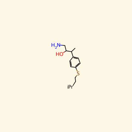 CC(C)CCSc1ccc(C(C)C(O)CN)cc1